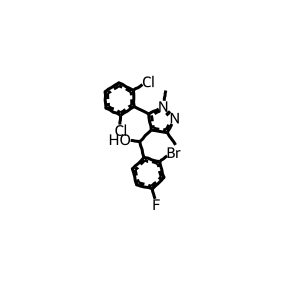 Cc1nn(C)c(-c2c(Cl)cccc2Cl)c1C(O)c1ccc(F)cc1Br